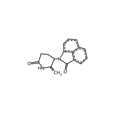 C=C1NC(=O)CCC1N1C(=O)c2cccc3cccc1c23